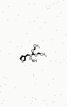 CCOC(OCC)[SiH2]Cc1ccsc1.[KH]